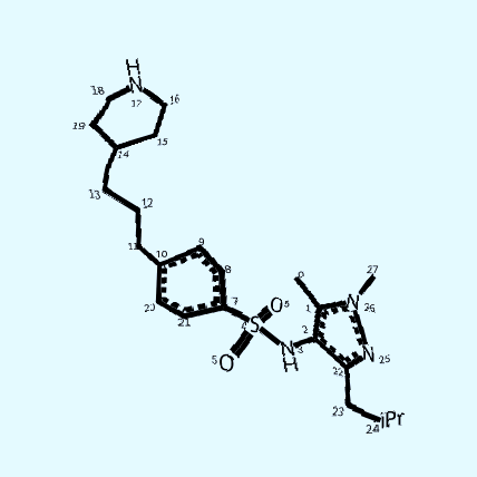 Cc1c(NS(=O)(=O)c2ccc(CCCC3CCNCC3)cc2)c(CC(C)C)nn1C